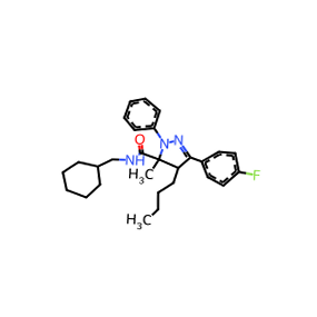 CCCCC1C(c2ccc(F)cc2)=NN(c2ccccc2)C1(C)C(=O)NCC1CCCCC1